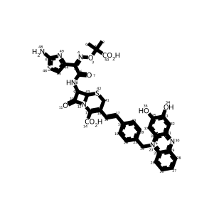 CC(C)(O/N=C(\C(=O)NC1C(=O)N2C(C(=O)O)=C(/C=C/c3ccc(C[n+]4c5ccccc5nc5cc(O)c(O)cc54)cc3)CSC12)c1csc(N)n1)C(=O)O